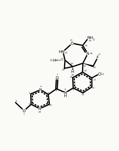 COc1cnc(C(=O)Nc2ccc(Cl)c([C@@]3(CF)N=C(N)ON[C@@H]4C[C@@H]43)c2)cn1